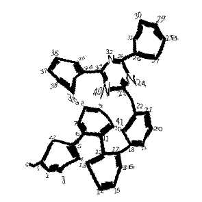 Cc1cccc(-c2ccccc2-c2ccccc2-c2cccc(-c3nc(-c4ccccc4)nc(-c4ccccc4)n3)c2)c1